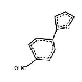 O=Cc1ccc(-c2ccco2)cc1